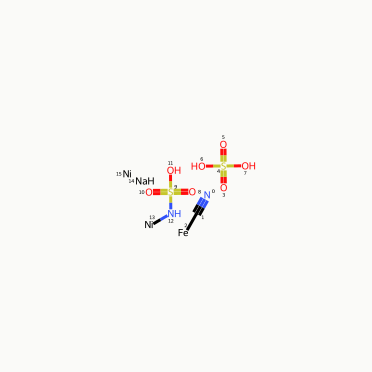 N#[C][Fe].O=S(=O)(O)O.O=S(=O)(O)[NH][Ni].[NaH].[Ni]